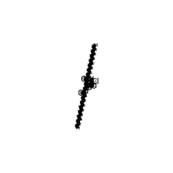 CCCCCCCCCCCCCCCC(=O)OCC(COC(=O)CCCCCCCCCCCCCCC)OC(=O)OC(C)Cl